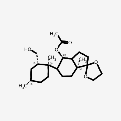 CC(=O)O[C@H]1C2CCC3(OCCO3)[C@@]2(C)CCC1[C@@]1(C)CC[C@H](C)C[C@@H]1CO